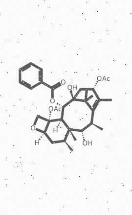 CC(=O)O[C@H]1C[C@@]2(O)[C@@H](OC(=O)c3ccccc3)[C@@H]3[C@]4(OC(C)=O)CO[C@@H]4C[C@H](C)[C@@]3(C)[C@@H](O)[C@H](C)C(=C1C)C2(C)C